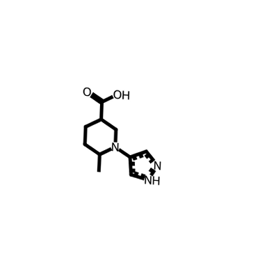 CC1CCC(C(=O)O)CN1c1cn[nH]c1